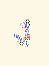 CC(C)(C)CCN1C(=O)[C@H](CC(=O)N2CCC(N3CCc4ccccc4NC3=O)CC2)SC1c1cccc(F)c1N1CCNCC1